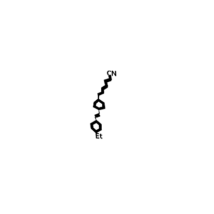 CC[C@H]1CC[C@H](C=C[C@H]2CC[C@H](CCC=CC=CC#N)CC2)CC1